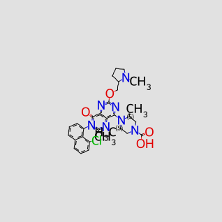 Cc1nc2c(N3[C@@H](C)CN(C(=O)O)C[C@@H]3C)nc(OCC3CCCN3C)nc2c(=O)n1-c1cccc2cccc(Cl)c12